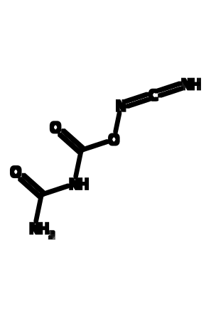 N=C=NOC(=O)NC(N)=O